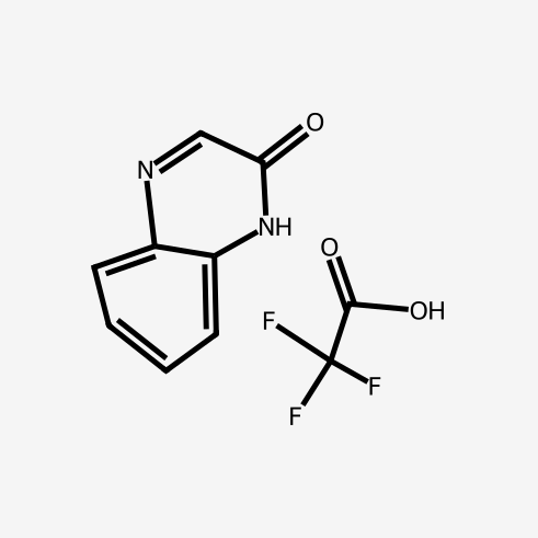 O=C(O)C(F)(F)F.O=c1cnc2ccccc2[nH]1